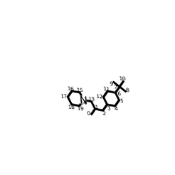 CC(CC1CCC(C(C)(C)C)CC1)CN1CCCCC1